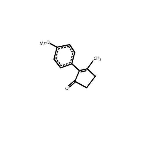 COc1ccc(C2=C(C)CCC2=O)cc1